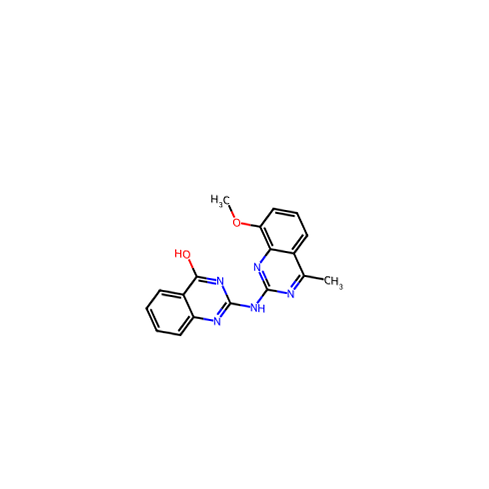 COc1cccc2c(C)nc(Nc3nc(O)c4ccccc4n3)nc12